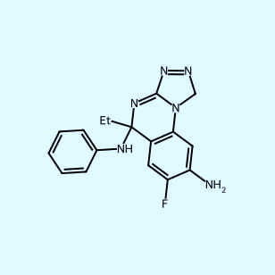 CCC1(Nc2ccccc2)N=C2N=NCN2c2cc(N)c(F)cc21